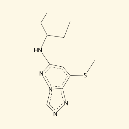 CCC(CC)Nc1cc(SC)c2nncn2n1